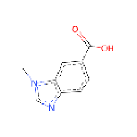 Cn1[c]nc2ccc(C(=O)O)cc21